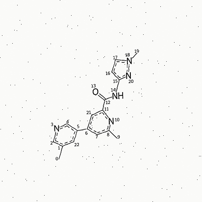 Cc1cncc(-c2cc(C)nc(C(=O)Nc3ccn(C)n3)c2)c1